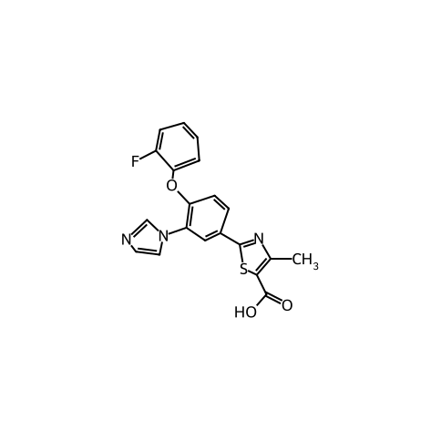 Cc1nc(-c2ccc(Oc3ccccc3F)c(-n3ccnc3)c2)sc1C(=O)O